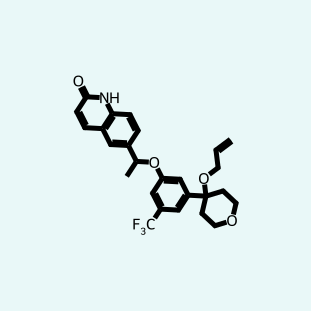 C=CCOC1(c2cc(OC(C)c3ccc4[nH]c(=O)ccc4c3)cc(C(F)(F)F)c2)CCOCC1